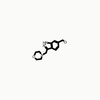 [O]Cc1ccc2c(CN3CCOCC3)n[nH]c2c1